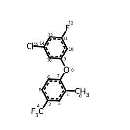 Cc1cc(C(F)(F)F)ccc1Oc1cc(F)cc(Cl)c1